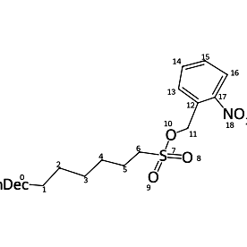 CCCCCCCCCCCCCCCCS(=O)(=O)OCc1ccccc1[N+](=O)[O-]